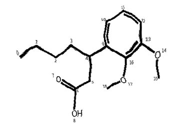 CCCCC(CC(=O)O)c1cccc(OC)c1OC